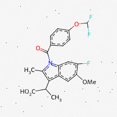 COc1cc2c(C(C)C(=O)O)c(C)n(C(=O)c3ccc(OC(F)F)cc3)c2cc1F